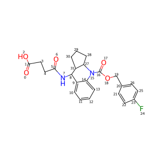 O=C(O)CCC(=O)NC1c2ccccc2N(C(=O)OCc2ccc(F)cc2)C2CCCC12